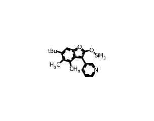 Cc1c(C(C)(C)C)cc2oc(O[SiH3])c(-c3cccnc3)c2c1C